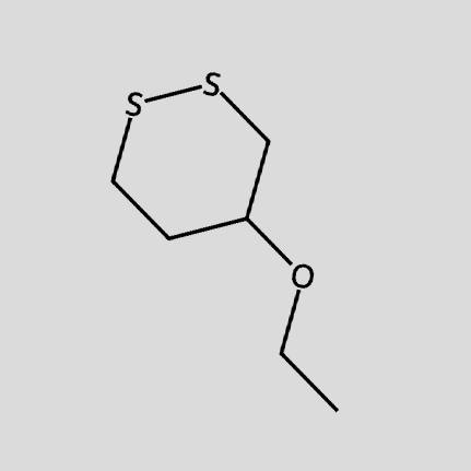 CCOC1CCSSC1